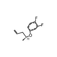 C=CC[C@H](C)Oc1ccc(F)c(F)c1